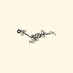 CCCCOC(=O)Nc1ccn([C@@H]2O[C@H](CO)[C@@H](OC(=O)CCCCCCC(=O)Nc3ccccc3)C2(F)F)c(=O)n1